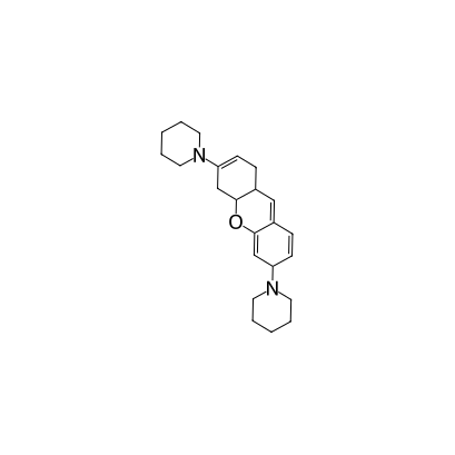 C1=CC(N2CCCCC2)C=C2OC3CC(N4CCCCC4)=CCC3C=C12